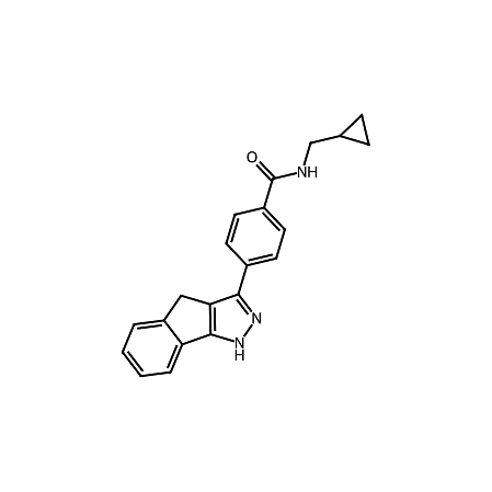 O=C(NCC1CC1)c1ccc(-c2n[nH]c3c2Cc2ccccc2-3)cc1